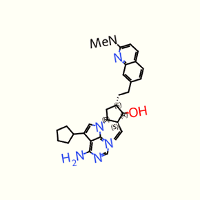 C=C[C@@H]1[C@H](O)[C@@H](CCc2ccc3ccc(NC)nc3c2)C[C@H]1n1cc(C2CCCC2)c2c(N)ncnc21